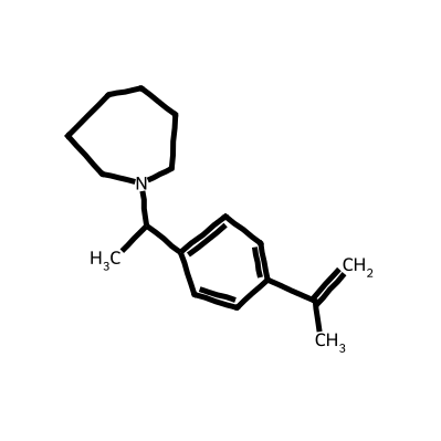 C=C(C)c1ccc(C(C)N2CCCCCC2)cc1